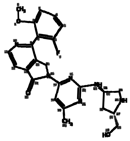 COc1cccc(F)c1-c1nccc2c1CN(c1cc(C)nc(N[C@H]3CN[C@H](CO)C3)n1)C2=O